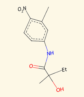 CCC(C)(O)C(=O)Nc1ccc([N+](=O)[O-])c(C)c1